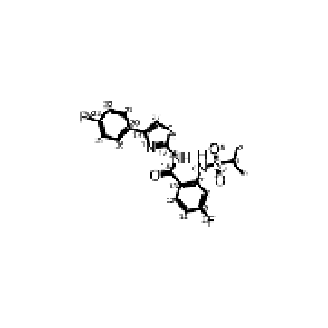 CC(C)S(=O)(=O)Nc1cc(F)ccc1C(=O)Nc1nc(-c2ccc(F)cc2)cs1